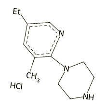 CCc1cnc(N2CCNCC2)c(C)c1.Cl